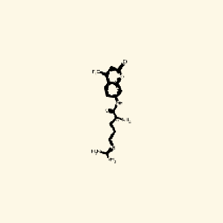 NC(N)=NCCC[C@H](N)C(=O)Nc1ccc2c(C(F)(F)F)cc(=O)oc2c1